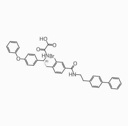 O=C(O)C(=O)N[C@H](Cc1ccc(C(=O)NCCc2ccc(-c3ccccc3)cc2)cc1Br)c1ccc(Oc2ccccc2)cc1